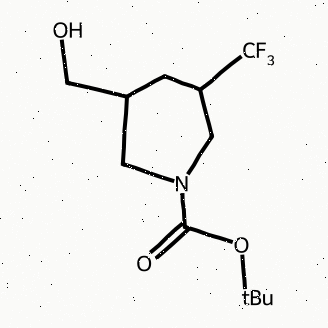 CC(C)(C)OC(=O)N1CC(CO)CC(C(F)(F)F)C1